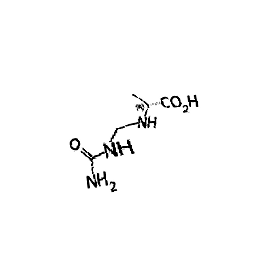 C[C@@H](NCNC(N)=O)C(=O)O